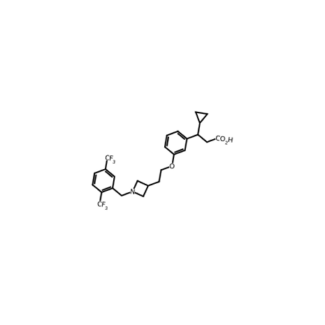 O=C(O)CC(c1cccc(OCCC2CN(Cc3cc(C(F)(F)F)ccc3C(F)(F)F)C2)c1)C1CC1